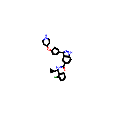 O=C(NC(c1ccccc1F)C1CC1)c1ccc2[nH]nc(-c3ccc(OC4CCNCC4)cc3)c2c1